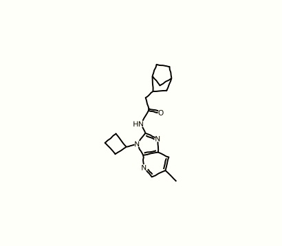 Cc1cnc2c(c1)nc(NC(=O)CC1CC3CCC1C3)n2C1CCC1